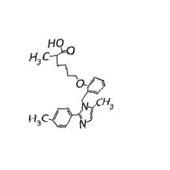 Cc1ccc(-c2ncc(C)n2Cc2ccccc2OCCCCC(C)C(=O)O)cc1